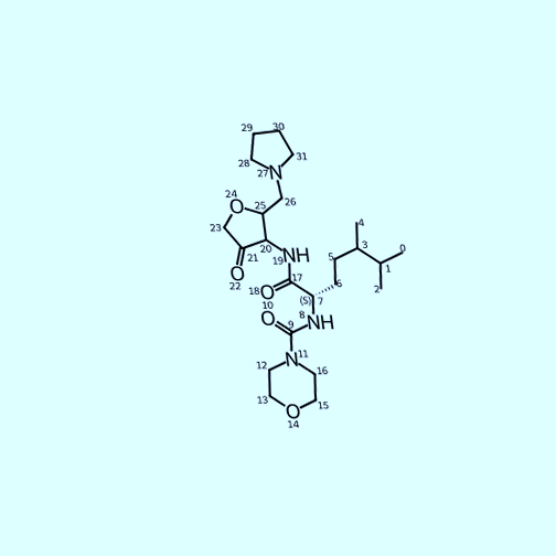 CC(C)C(C)CC[C@H](NC(=O)N1CCOCC1)C(=O)NC1C(=O)COC1CN1CCCC1